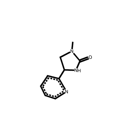 CN1CC(c2ccccn2)NC1=O